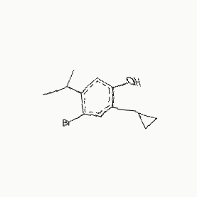 CC(C)c1cc(O)c(C2CC2)cc1Br